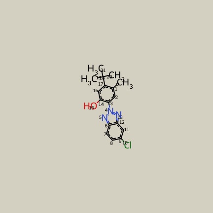 Cc1cc(-n2nc3ccc(Cl)cc3n2)c(O)cc1C(C)(C)C